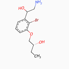 CC[C@@H](O)COc1cccc(C(O)CN)c1Br